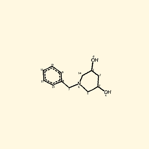 OC1CC(O)CN(Cc2ccccc2)C1